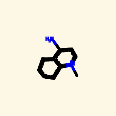 C[n+]1ccc(N)c2ccccc21